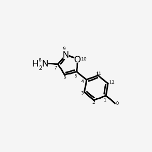 Cc1ccc(-c2cc(N)no2)cc1